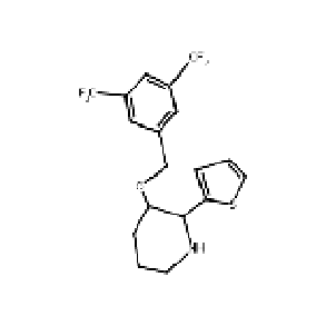 FC(F)(F)c1cc(COC2CCCNC2c2cccs2)cc(C(F)(F)F)c1